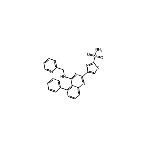 NS(=O)(=O)c1nc(-c2nc(NCc3ccccn3)c3c(-c4ccccc4)cccc3n2)cs1